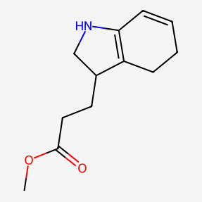 COC(=O)CCC1CNC2=C1CCC=C2